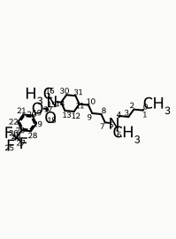 CCCCCN(C)CCCCC1CCC(N(C)C(=O)Oc2ccc(C(F)(F)F)cc2)CC1